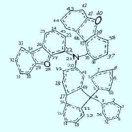 c1ccc(C2(c3ccccc3)c3ccccc3-c3ccc(N(c4cccc5c4oc4ccccc45)c4cccc5oc6ccccc6c45)cc32)cc1